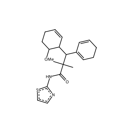 COC1CCC=CC1C(C1=CCCC=C1)C(C)(C)C(=O)Nc1nccs1